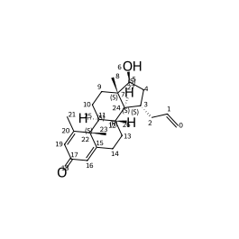 C=CC[C@H]1C[C@H](O)[C@@]2(C)CC[C@H]3[C@@H](CCC4=CC(=O)C=C(C)[C@@]43C)[C@H]12